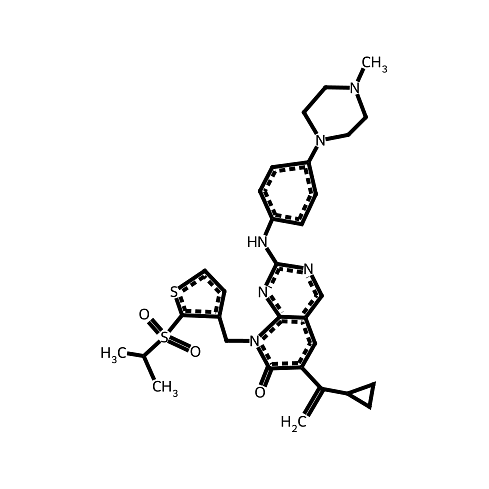 C=C(c1cc2cnc(Nc3ccc(N4CCN(C)CC4)cc3)nc2n(Cc2ccsc2S(=O)(=O)C(C)C)c1=O)C1CC1